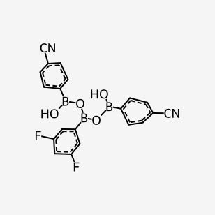 N#Cc1ccc(B(O)OB(OB(O)c2ccc(C#N)cc2)c2cc(F)cc(F)c2)cc1